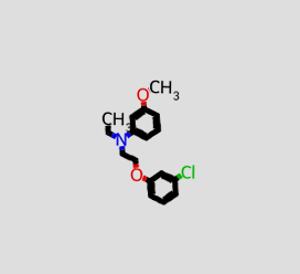 CCN(CCOc1cccc(Cl)c1)c1cccc(OC)c1